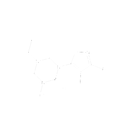 C=CCN1CN(c2snc(CC)c2C)C(=O)N(C(C)C)C1